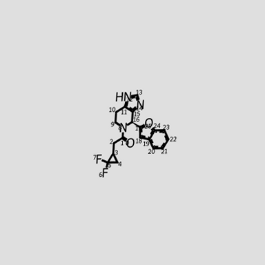 O=C(CC1CC1(F)F)N1CCc2[nH]cnc2[C@H]1c1cc2ccccc2o1